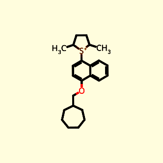 CC1CCC(C)[S+]1c1ccc(OCC2CCCCCC2)c2ccccc12